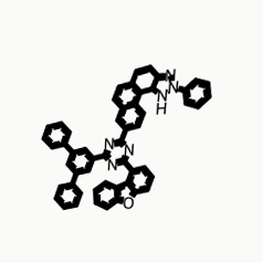 C1=Cc2ccc3cc(-c4nc(-c5cc(-c6ccccc6)cc(-c6ccccc6)c5)nc(-c5cccc6oc7ccccc7c56)n4)ccc3c2C2NN(c3ccccc3)N=C12